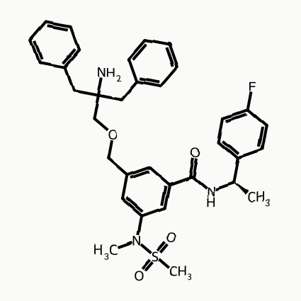 C[C@@H](NC(=O)c1cc(COCC(N)(Cc2ccccc2)Cc2ccccc2)cc(N(C)S(C)(=O)=O)c1)c1ccc(F)cc1